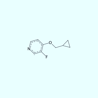 Fc1[c]nccc1OCC1CC1